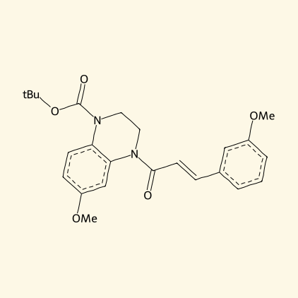 COc1cccc(C=CC(=O)N2CCN(C(=O)OC(C)(C)C)c3ccc(OC)cc32)c1